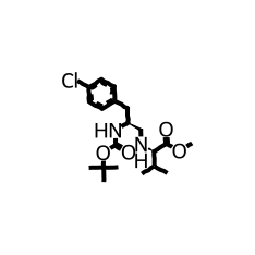 COC(=O)[C@@H](NC[C@H](Cc1ccc(Cl)cc1)NC(=O)OC(C)(C)C)C(C)C